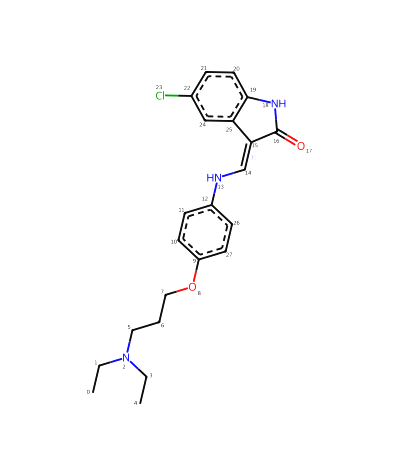 CCN(CC)CCCOc1ccc(N/C=C2/C(=O)Nc3ccc(Cl)cc32)cc1